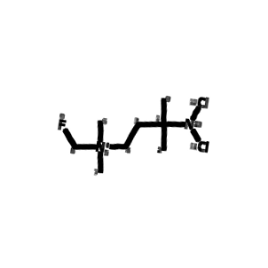 CC(C)(CC[N+](C)(C)CF)N(Cl)Cl